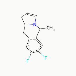 CC1c2cc(F)c(F)cc2CC2CC=CN21